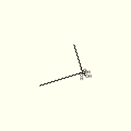 CCCCCCCCCCCCCC=CC(=O)C(O)(C=CCCCCCCCCCCCCCCCCCCCCCC)[C@@H](O)CO